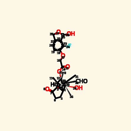 C[C@@H]1CC[C@@]23CCC(=O)[C@H]2[C@]1(C)[C@H](OC(=O)COc1ccc2c(c1F)B(O)OC2)C[C@@](C)(C=O)[C@@H](O)[C@@H]3C